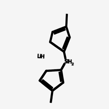 CC1=CCC([SiH2]C2=CC(C)=CC2)=C1.[LiH]